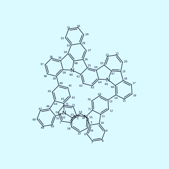 c1ccc(-n2c3ccccc3c3cc(-c4cccc5c6cccc7c8c9c%10cc%11ccccc%11c%11c%12cccc(-c%13ccc%14c(c%13)c%13ccccc%13n%14-c%13ccccc%13)c%12n(c9ccc8n(c45)c67)c%10%11)ccc32)cc1